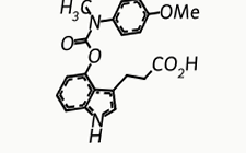 COc1ccc(N(C)C(=O)Oc2cccc3[nH]cc(CCC(=O)O)c23)cc1